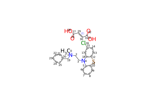 CN(CCN1c2ccccc2Sc2ccc(Cl)cc21)Cc1ccccc1.O=C(O)/C=C/C(=O)O